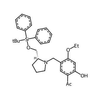 CCOc1cc(O)c(C(C)=O)cc1CN1CCC[C@@H]1CO[Si](c1ccccc1)(c1ccccc1)C(C)(C)C